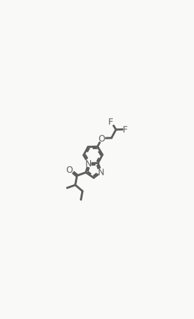 CCC(C)C(=O)c1cnc2cc(OCC(F)F)ccn12